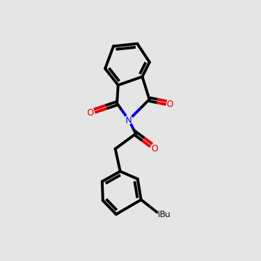 CCC(C)c1cccc(CC(=O)N2C(=O)c3ccccc3C2=O)c1